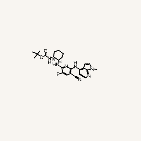 Cn1ccc2c(Nc3nc(N[C@@H]4CCCC[C@@H]4NC(=O)OC(C)(C)C)c(F)cc3C#N)ccnc21